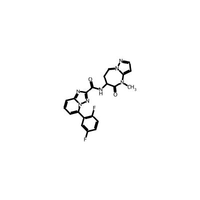 CN1C(=O)C(NC(=O)c2nc3cccc(-c4cc(F)ccc4F)n3n2)CCn2nccc21